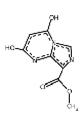 COC(=O)c1ncn2c(O)cc(O)nc12